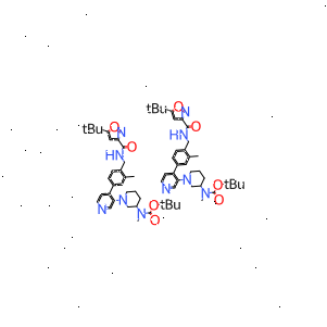 Cc1cc(-c2ccncc2N2CCCC(N(C)C(=O)OC(C)(C)C)C2)ccc1CNC(=O)c1cc(C(C)(C)C)on1.Cc1cc(-c2ccncc2N2CCCC(N(C)C(=O)OC(C)(C)C)C2)ccc1CNC(=O)c1cc(C(C)(C)C)on1